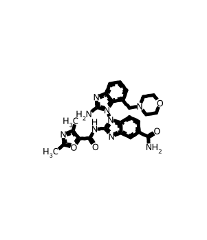 Cc1nc(C)c(C(=O)Nc2nc3cc(C(N)=O)ccc3n2-n2c(N)nc3cccc(CN4CCOCC4)c32)o1